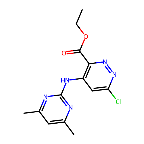 CCOC(=O)c1nnc(Cl)cc1Nc1nc(C)cc(C)n1